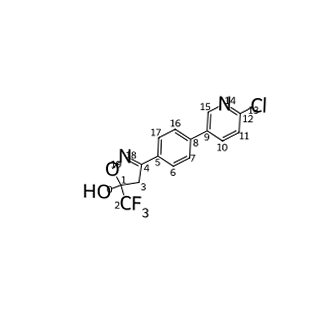 OC1(C(F)(F)F)CC(c2ccc(-c3ccc(Cl)nc3)cc2)=NO1